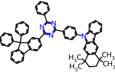 CC1(C)CCC(C)(C)c2cc3c(cc21)c1ccccc1n3-c1ccc(-c2nc(-c3ccccc3)nc(-c3ccc4c(c3)C(c3ccccc3)(c3ccccc3)c3ccccc3-4)n2)cc1